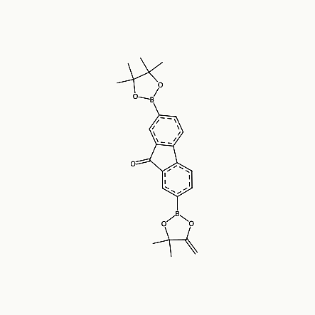 C=C1OB(c2ccc3c(c2)C(=O)c2cc(B4OC(C)(C)C(C)(C)O4)ccc2-3)OC1(C)C